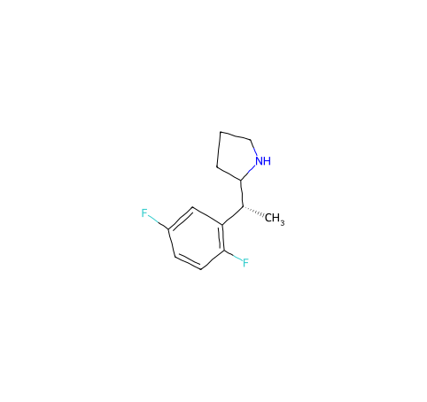 C[C@H](c1cc(F)ccc1F)C1CCCN1